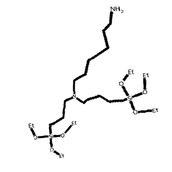 CCO[Si](CCCN(CCCCCCN)CCC[Si](OCC)(OCC)OCC)(OCC)OCC